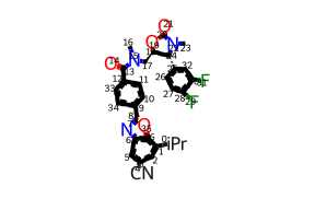 CC(C)c1cc(C#N)cc2nc(-c3ccc(C(=O)N(C)C[C@H]4OC(=O)N(C)[C@@H]4c4ccc(F)c(F)c4)cc3)oc12